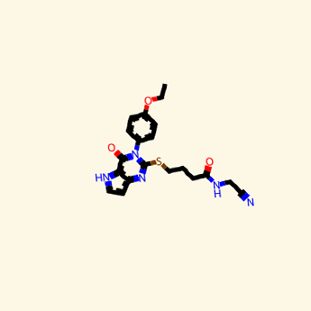 CCOc1ccc(-n2c(SCCCC(=O)NCC#N)nc3cc[nH]c3c2=O)cc1